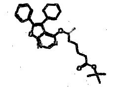 C[C@H](CCCCC(=O)OC(C)(C)C)Oc1ncnc2oc(-c3ccccc3)c(C3=CCCCC3)c12